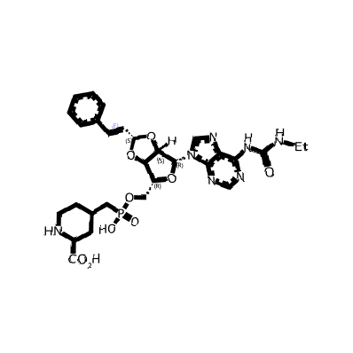 CCNC(=O)Nc1ncnc2c1ncn2[C@@H]1O[C@H](COP(=O)(O)CC2CCNC(C(=O)O)C2)C2O[C@H](/C=C/c3ccccc3)O[C@@H]21